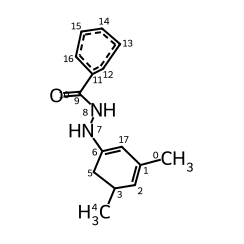 CC1=CC(C)CC(NNC(=O)c2ccccc2)=C1